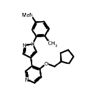 CNc1ccc(C)c(-n2cc(-c3cnccc3OCC3CCCC3)cn2)c1